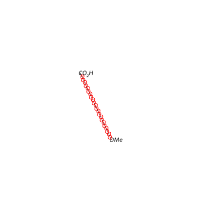 COCCOCCOCCOCCOCCOCCOCCOCCOCCOCCOCCOCCOCCOCCOCCOCCOCCOCCOCCOCCOCCOCCOCCCC(=O)O